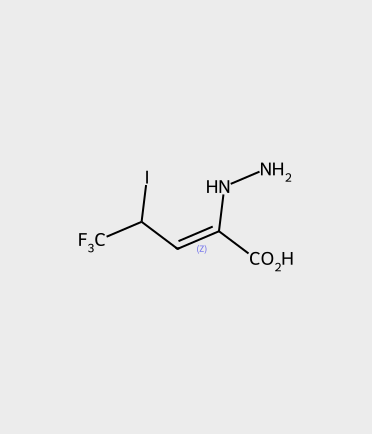 NN/C(=C\C(I)C(F)(F)F)C(=O)O